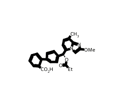 CCC(=O)O[C@H](c1ccc(-c2ccccc2C(=O)O)cc1)c1ccc(C)c2nc(OC)cn12